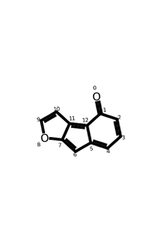 O=C1C=CC=C2C=c3occc3=C12